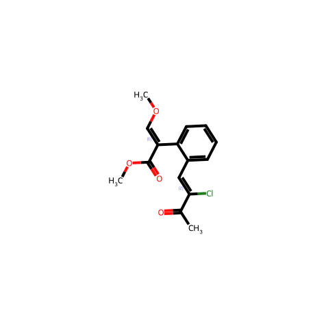 CO/C=C(/C(=O)OC)c1ccccc1/C=C(\Cl)C(C)=O